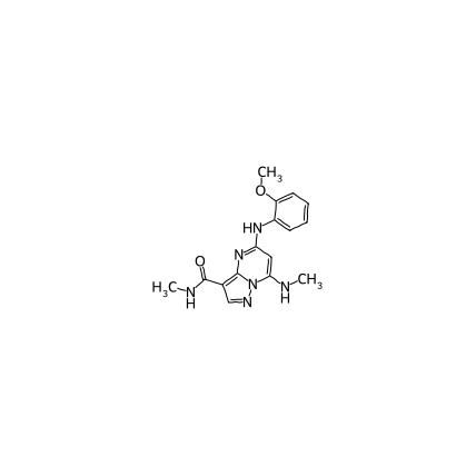 CNC(=O)c1cnn2c(NC)cc(Nc3ccccc3OC)nc12